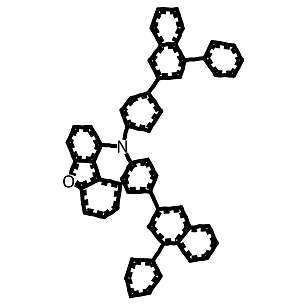 c1ccc(-c2cc(-c3ccc(N(c4ccc(-c5cc(-c6ccccc6)c6ccccc6c5)cc4)c4cccc5oc6ccccc6c45)cc3)cc3ccccc23)cc1